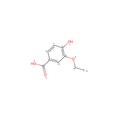 O=C(O)c1ccc(O)c(OCI)c1